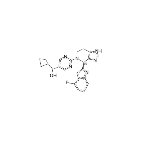 OC(c1cnc(N2CCc3[nH]cnc3[C@H]2c2cc3c(F)cccn3n2)nc1)C1CCC1